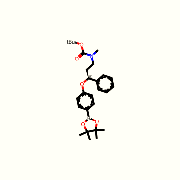 CN(CC[C@H](Oc1ccc(B2OC(C)(C)C(C)(C)O2)cc1)c1ccccc1)C(=O)OC(C)(C)C